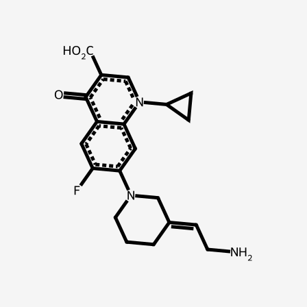 NCC=C1CCCN(c2cc3c(cc2F)c(=O)c(C(=O)O)cn3C2CC2)C1